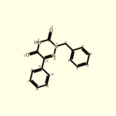 O=c1[nH]c(=O)n(Cc2ccccc2)nc1-c1ccccc1